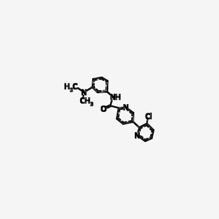 CN(C)c1cccc(NC(=O)c2ccc(-c3ncccc3Cl)cn2)c1